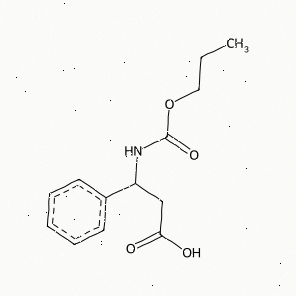 CCCOC(=O)NC(CC(=O)O)c1ccccc1